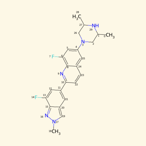 CC1CN(c2cc(F)c3nc(-c4cc(F)c5nn(C)cc5c4)ccc3c2)CC(C)N1